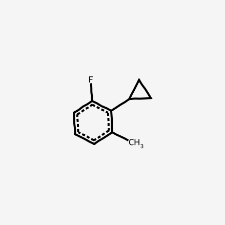 Cc1cccc(F)c1C1CC1